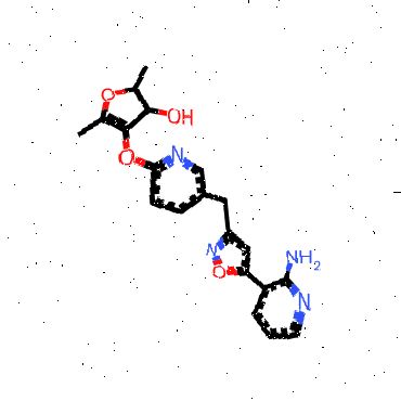 CC1=C(Oc2ccc(Cc3cc(-c4cccnc4N)on3)cn2)C(O)C(C)O1